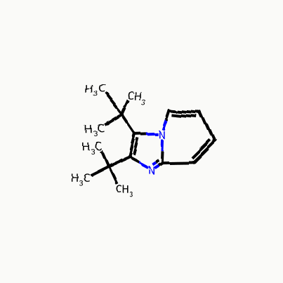 CC(C)(C)c1nc2ccccn2c1C(C)(C)C